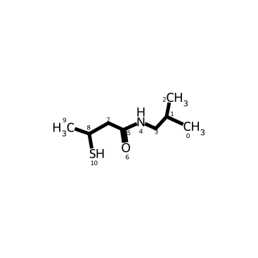 CC(C)CNC(=O)CC(C)S